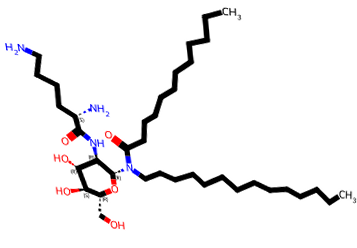 CCCCCCCCCCCCCCN(C(=O)CCCCCCCCCCC)[C@@H]1O[C@H](CO)[C@@H](O)[C@H](O)[C@H]1NC(=O)[C@@H](N)CCCCN